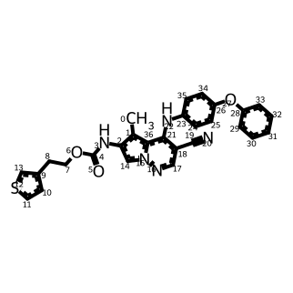 Cc1c(NC(=O)OCCc2ccsc2)cn2ncc(C#N)c(Nc3ccc(Oc4ccccc4)cc3)c12